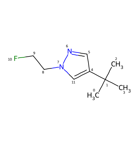 CC(C)(C)c1cnn(CCF)c1